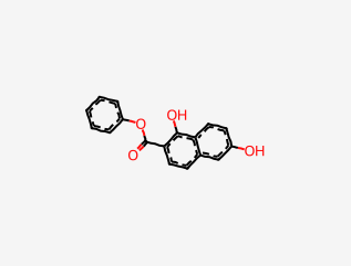 O=C(Oc1ccccc1)c1ccc2cc(O)ccc2c1O